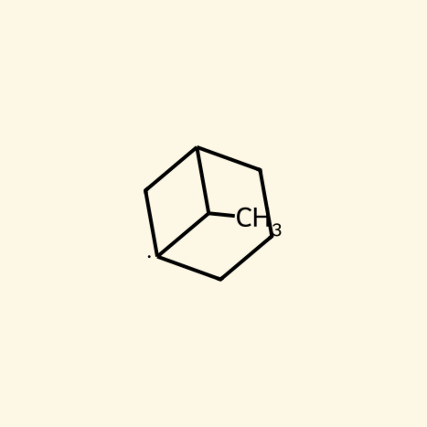 CC1[C]2CCCC1C2